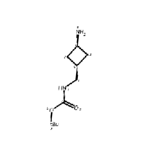 CC(C)(C)OC(=O)NC[C@H]1C[C@@H](N)C1